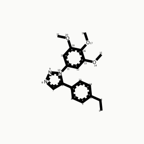 CCc1ccc(-c2cnnn2-c2cc(OC)c(OC)c(OC)c2)cc1